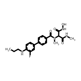 CCCNc1ccc(-c2ccc(C(=O)N(C)C(C(=O)NC)C(=O)NO)cc2)cc1F